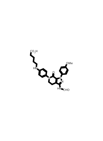 COc1ccc(-n2nc(NC=O)c3c2C(=O)N(c2ccc(NCCCCC(=O)O)cc2)CC3)cc1